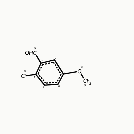 O=Cc1cc(OC(F)(F)F)ccc1Cl